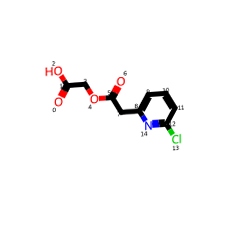 O=C(O)COC(=O)Cc1cccc(Cl)n1